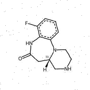 O=C1C[C@H]2CNCCN2c2cccc(F)c2N1